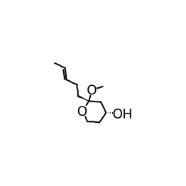 C/C=C/CC[C@@]1(OC)C[C@H](O)CCO1